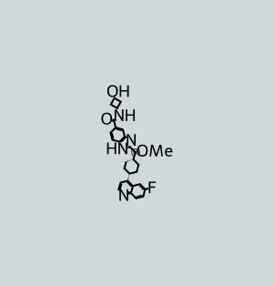 CO[C@@H](c1nc2cc(C(=O)NC3CC(O)C3)ccc2[nH]1)[C@H]1CC[C@@H](c2ccnc3ccc(F)cc32)CC1